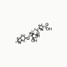 O=C(O)c1csc([C@H]2CC[C@@H]3[C@@H](COc4ccc5scnc5c4)[C@H](O)C[C@@H]3O2)n1